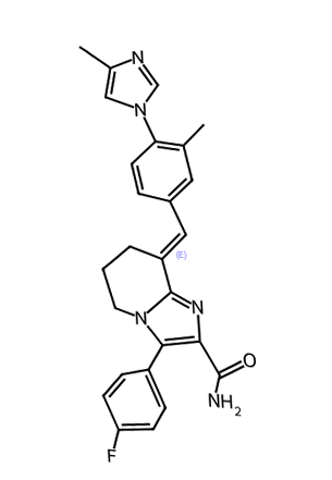 Cc1cn(-c2ccc(/C=C3\CCCn4c3nc(C(N)=O)c4-c3ccc(F)cc3)cc2C)cn1